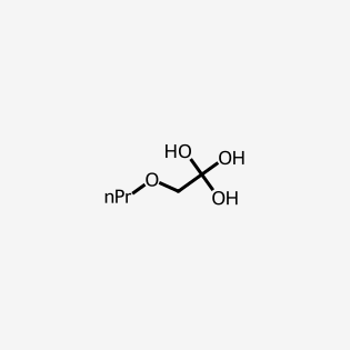 CCCOCC(O)(O)O